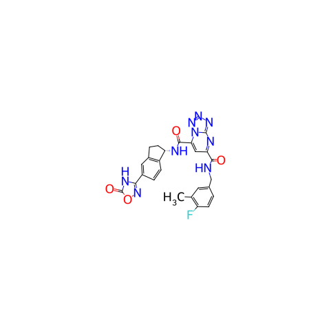 Cc1cc(CNC(=O)c2cc(C(=O)N[C@H]3CCc4cc(-c5noc(=O)[nH]5)ccc43)n3nnnc3n2)ccc1F